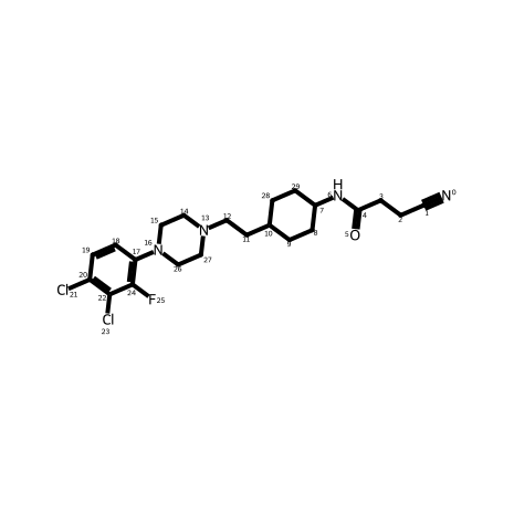 N#CCCC(=O)NC1CCC(CCN2CCN(c3ccc(Cl)c(Cl)c3F)CC2)CC1